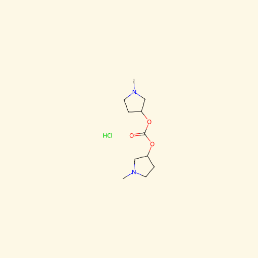 CN1CCC(OC(=O)OC2CCN(C)C2)C1.Cl